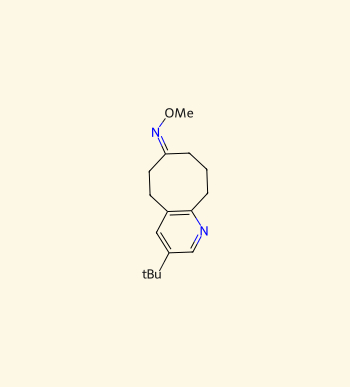 CO/N=C1\CCCc2ncc(C(C)(C)C)cc2CC1